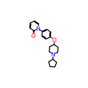 O=c1ccccn1-c1ccc(OC2CCN(C3CCCC3)CC2)cc1